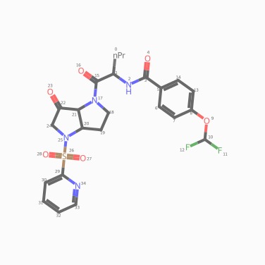 CCCC(NC(=O)c1ccc(OC(F)F)cc1)C(=O)N1CCC2C1C(=O)CN2S(=O)(=O)c1ccccn1